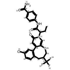 CCC(C(=O)Nc1ccc(C(N)=O)cc1)n1cc2c(cc1=O)-c1cc(Cl)ccc1CC(C(F)(F)F)CO2